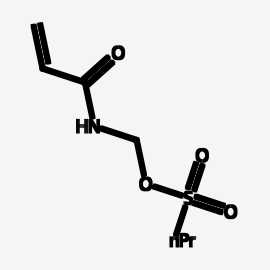 C=CC(=O)NCOS(=O)(=O)CCC